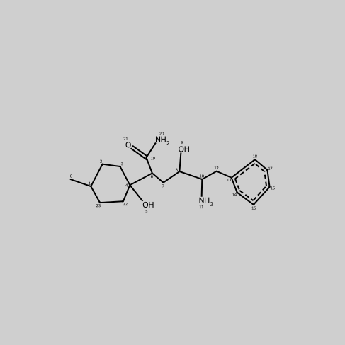 CC1CCC(O)(C(CC(O)C(N)Cc2ccccc2)C(N)=O)CC1